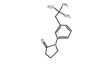 CC(C)(C)Cc1cccc(N2CCCC2=O)c1